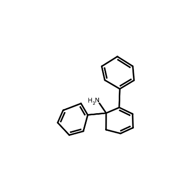 NC1(c2ccccc2)CC=CC=C1c1ccccc1